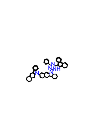 C1=Cc2c(cc(C3N=C(c4ccccc4)N=C(N4C5=CC6=CC(n7c8c(c9ccccc97)C=C7CCCCC7C8)=CCC6CC5C5C=CCCC54)N3)c3ccccc23)CC1